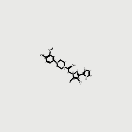 COc1cc(N2CCN(C(=O)Cn3nc(-c4nccs4)c(Cl)c3C)CC2)ccc1Cl